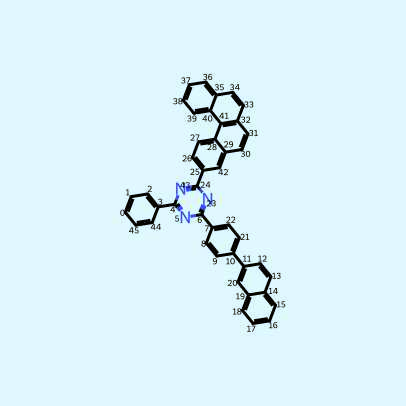 c1ccc(-c2nc(-c3ccc(-c4ccc5ccccc5c4)cc3)nc(-c3ccc4c(ccc5ccc6ccccc6c54)c3)n2)cc1